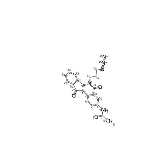 CC(=O)Nc1ccc2c3c(n(CCCN=[N+]=[N-])c(=O)c2c1)-c1ccccc1C3=O